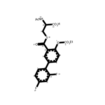 CCOC(=O)Oc1ccc(-c2ccc(F)cc2F)cc1C(=O)SCC(NC(C)=O)C(=O)O